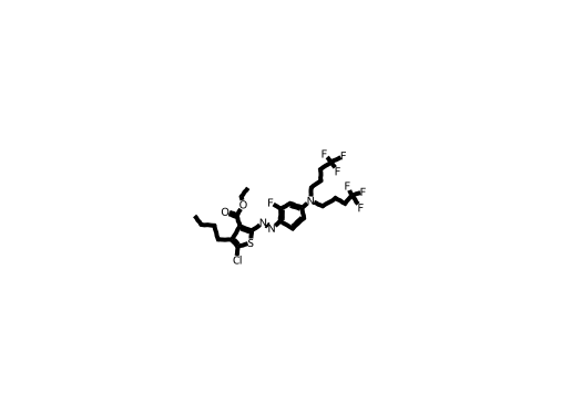 CCCCc1c(Cl)sc(/N=N/c2ccc(N(CCCC(F)(F)F)CCCC(F)(F)F)cc2F)c1C(=O)OCC